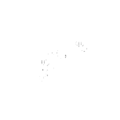 COc1ccc2nccc([C@H](F)CC[C@@H]3CCN(CCCCc4ccccc4OC)C[C@@H]3CC(=O)O)c2c1